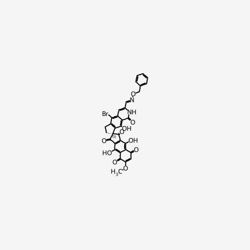 COC1=CC(=O)c2c(O)c3c(c(O)c2C1=O)C(=O)[C@]1(CCc2c1c(O)c1c(=O)[nH]c(C=NOCc4ccccc4)cc1c2Br)C3=O